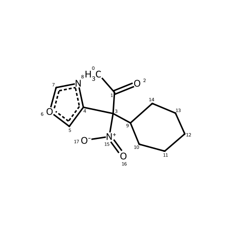 CC(=O)C(c1cocn1)(C1CCCCC1)[N+](=O)[O-]